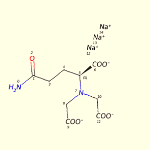 NC(=O)CC[C@@H](C(=O)[O-])N(CC(=O)[O-])CC(=O)[O-].[Na+].[Na+].[Na+]